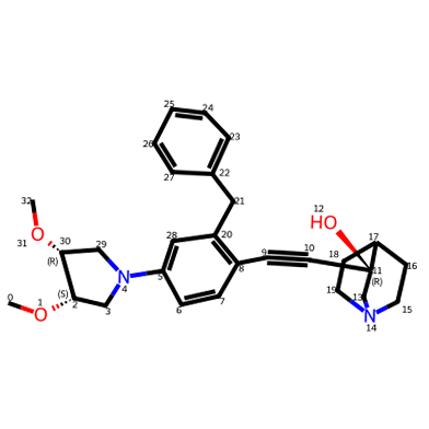 CO[C@H]1CN(c2ccc(C#C[C@@]3(O)CN4CCC3CC4)c(Cc3ccccc3)c2)C[C@H]1OC